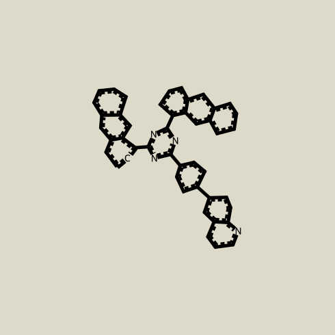 c1ccc2cc3c(-c4nc(-c5ccc(-c6ccc7ncccc7c6)cc5)nc(-c5cccc6cc7ccccc7cc56)n4)cccc3cc2c1